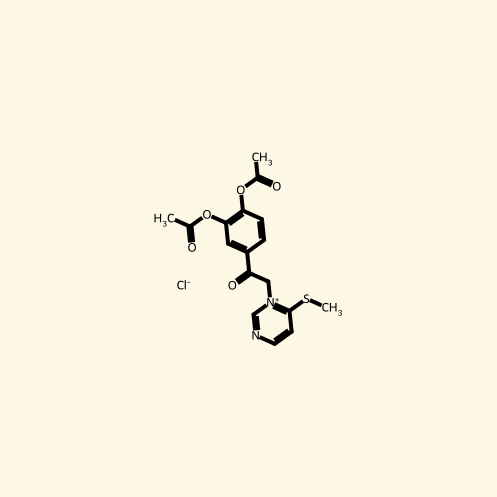 CSc1ccnc[n+]1CC(=O)c1ccc(OC(C)=O)c(OC(C)=O)c1.[Cl-]